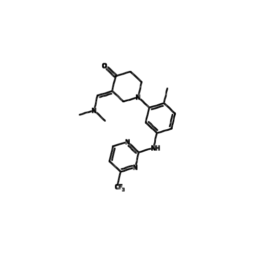 Cc1ccc(Nc2nccc(C(F)(F)F)n2)cc1N1CCC(=O)/C(=C/N(C)C)C1